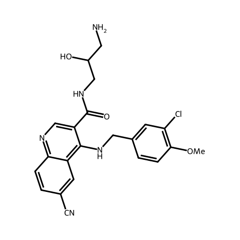 COc1ccc(CNc2c(C(=O)NCC(O)CN)cnc3ccc(C#N)cc23)cc1Cl